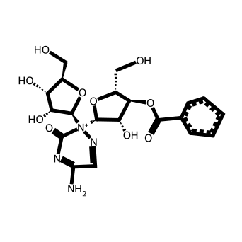 NC1=NC(=O)[N+]([C@@H]2O[C@H](CO)[C@@H](O)[C@H]2O)([C@@H]2O[C@H](CO)[C@@H](OC(=O)c3ccccc3)[C@@H]2O)N=C1